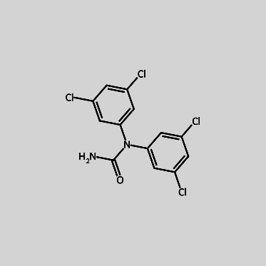 NC(=O)N(c1cc(Cl)cc(Cl)c1)c1cc(Cl)cc(Cl)c1